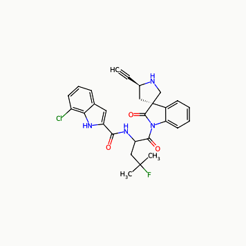 C#C[C@@H]1C[C@@]2(CN1)C(=O)N(C(=O)C(CC(C)(C)F)NC(=O)c1cc3cccc(Cl)c3[nH]1)c1ccccc12